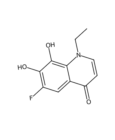 CCn1ccc(=O)c2cc(F)c(O)c(O)c21